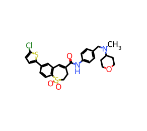 CN(Cc1ccc(NC(=O)C2=Cc3cc(-c4ccc(Cl)s4)ccc3S(=O)(=O)CC2)cc1)C1CCOCC1